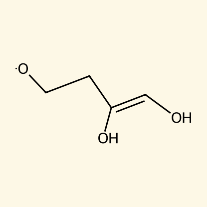 [O]CCC(O)=CO